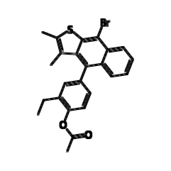 CCc1cc(-c2c3ccccc3c(Br)c3sc(C)c(C)c23)ccc1OC(C)=O